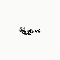 C[Si](C)(C)CCOCn1ccc2nc(NC3CCN(C(=O)O)CC3)cnc21